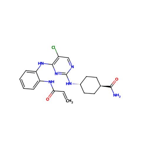 C=CC(=O)Nc1ccccc1Nc1nc(N[C@H]2CC[C@H](C(N)=O)CC2)ncc1Cl